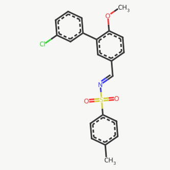 COc1ccc(C=NS(=O)(=O)c2ccc(C)cc2)cc1-c1cccc(Cl)c1